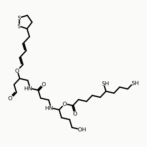 O=CCC(CNC(=O)CCNC(CCCO)OC(=O)CCCCC(S)CCCS)O/C=C/C=C/CC1CCSS1